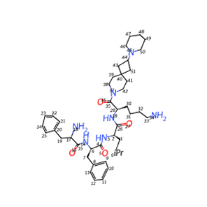 CC(C)C[C@@H](NC(=O)[C@@H](Cc1ccccc1)NC(=O)[C@H](N)Cc1ccccc1)C(=O)N[C@H](CCCCN)C(=O)N1CCC2(CC1)CC(N1CCCCC1)C2